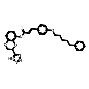 O=C(/C=C/c1ccc(OCCCCCc2ccccc2)cc1)Nc1cccc2c1OC(c1nnn[nH]1)CO2